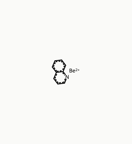 [Be+2].c1ccc2ncccc2c1